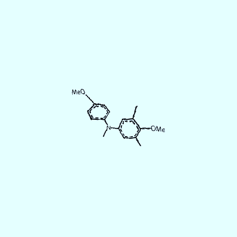 COc1ccc(N(C)c2cc(C)c(OC)c(C)c2)cc1